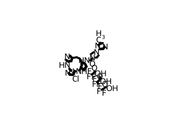 Cc1cncc(N2CCN(C(=O)Nc3ccc4cc3CCc3cncc(c3)Nc3ncc(Cl)c(n3)N4)CC2)n1.O=C(O)C(F)(F)F.O=C(O)C(F)(F)F.O=C(O)C(F)(F)F